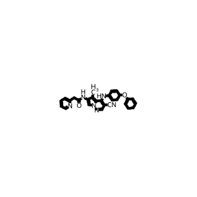 Cc1c(NC(=O)Cc2ccccn2)cn2ncc(C#N)c(NC3=CCC(OC4=CCCC=C4)C=C3)c12